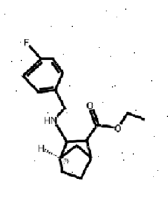 CCOC(=O)C1C2CC[C@H](C2)C1NCc1ccc(F)cc1